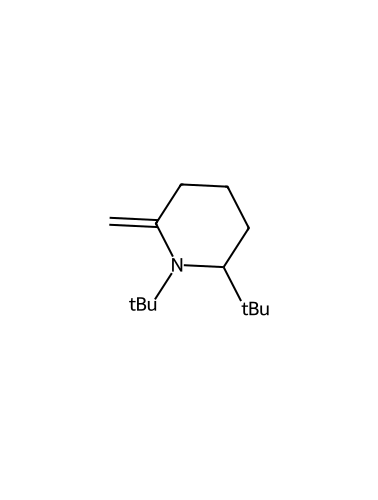 C=C1CCCC(C(C)(C)C)N1C(C)(C)C